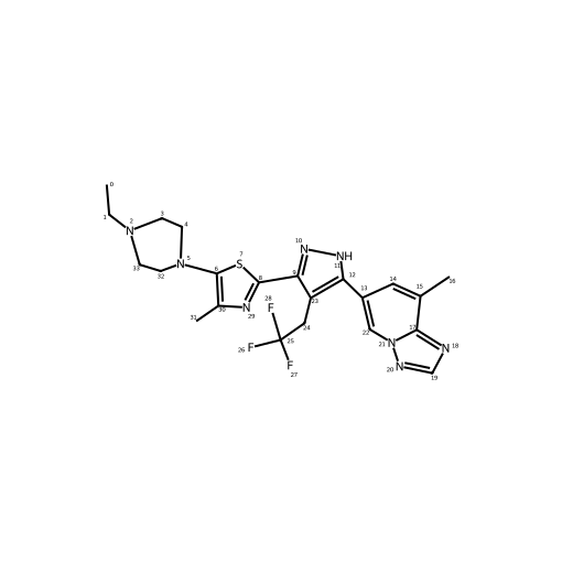 CCN1CCN(c2sc(-c3n[nH]c(-c4cc(C)c5ncnn5c4)c3CC(F)(F)F)nc2C)CC1